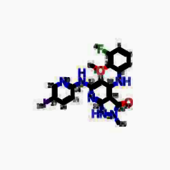 COc1c(F)cccc1Nc1cc(Nc2ccc(I)cn2)nc2[nH]n(C)c(=O)c12